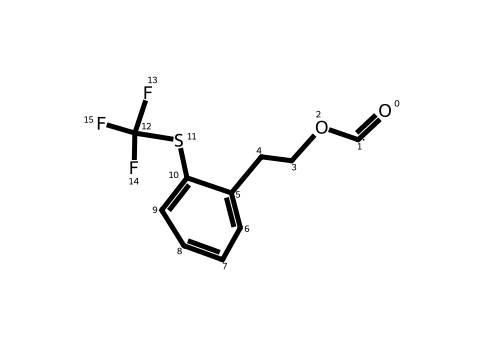 O=[C]OCCc1ccccc1SC(F)(F)F